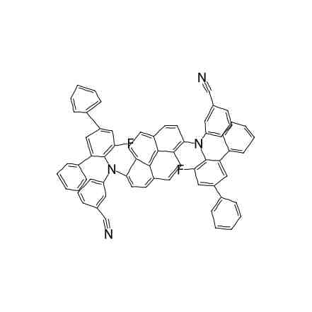 N#Cc1cccc(N(c2c(F)cc(-c3ccccc3)cc2-c2ccccc2)c2ccc3ccc4c(N(c5cccc(C#N)c5)c5c(F)cc(-c6ccccc6)cc5-c5ccccc5)ccc5ccc2c3c54)c1